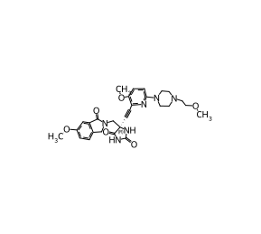 COCCN1CCN(c2ccc(OC)c(C#C[C@]3(CN4Cc5ccc(OC)cc5C4=O)NC(=O)NC3=O)n2)CC1